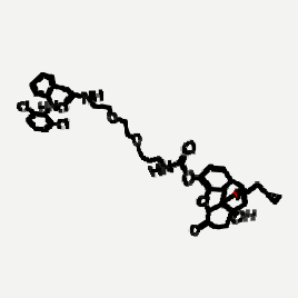 O=C(Cc1ccccc1Nc1c(Cl)cccc1Cl)NCCOCCOCCNC(=O)OC1=C2OC3C(=O)CC[C@@]4(O)C5CC(C=C1)C2C34CCN5CC1CC1